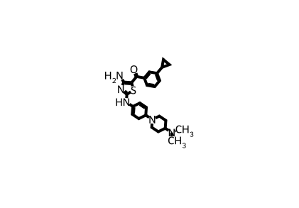 CN(C)C1CCN(C2C=CC(Nc3nc(N)c(C(=O)c4cccc(C5CC5)c4)s3)=CC2)CC1